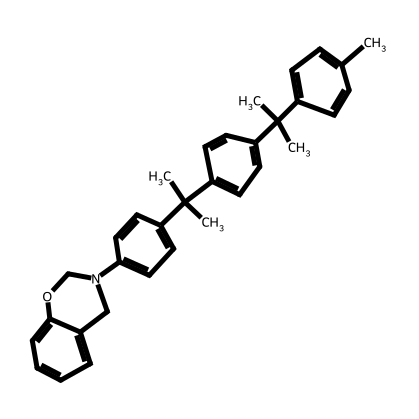 Cc1ccc(C(C)(C)c2ccc(C(C)(C)c3ccc(N4COc5ccccc5C4)cc3)cc2)cc1